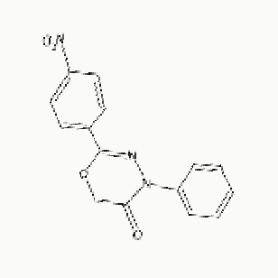 O=C1COC(c2ccc([N+](=O)[O-])cc2)=NN1c1ccccc1